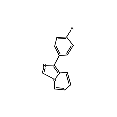 CCc1ccc(-c2ncn3ccccc23)cc1